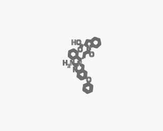 NC1=Nc2ccc(Oc3ccccc3)cc2CN1[C@@H](CCC(=O)N1C2CCCCC2C[C@H]1C(=O)O)C1CCCCC1